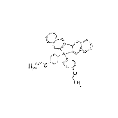 C=COc1ccc(C2(c3ccc(OC=C)cc3)c3cc4ccccc4cc3-c3cc4ccccc4cc32)cc1